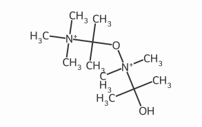 CC(C)(O[N+](C)(C)C(C)(C)O)[N+](C)(C)C